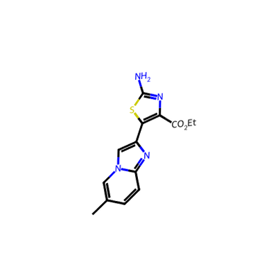 CCOC(=O)c1nc(N)sc1-c1cn2cc(C)ccc2n1